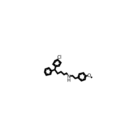 COc1ccc(CCNCCCCC(c2ccccc2)c2ccc(Cl)cc2)cc1